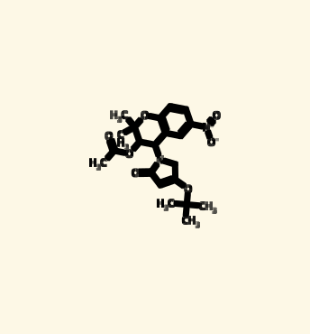 CC(=O)OC1C(N2CC(OC(C)(C)C)=CC2=O)c2cc([N+](=O)[O-])ccc2OC1(C)C